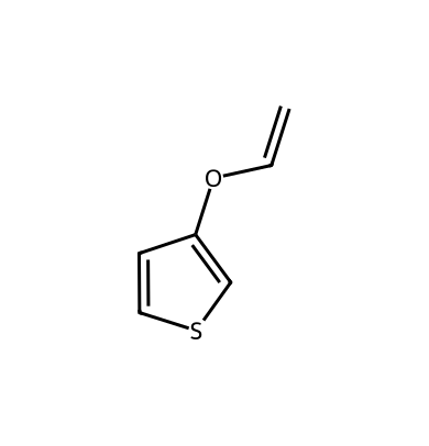 C=COc1ccsc1